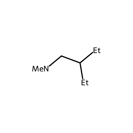 [C]NCC(CC)CC